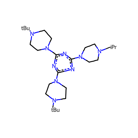 CC(C)N1CCN(c2nc(N3CCN(C(C)(C)C)CC3)nc(N3CCN(C(C)(C)C)CC3)n2)CC1